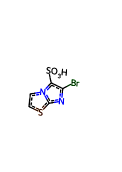 O=S(=O)(O)c1c(Br)nc2sccn12